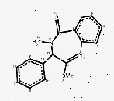 CSC1=Nc2ccccc2C(=O)N(C)C1c1ccccc1